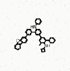 CC1C=C(c2ccc(Nc3ccccc3)c(-c3cccc(-c4ccc5c(c4)oc4ccccc45)c3)c2)C=C(c2ccccc2)C1NC1=C=CC1